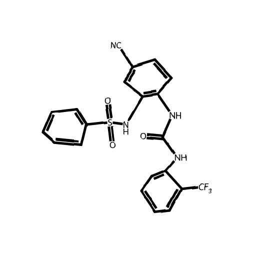 N#Cc1ccc(NC(=O)Nc2ccccc2C(F)(F)F)c(NS(=O)(=O)c2ccccc2)c1